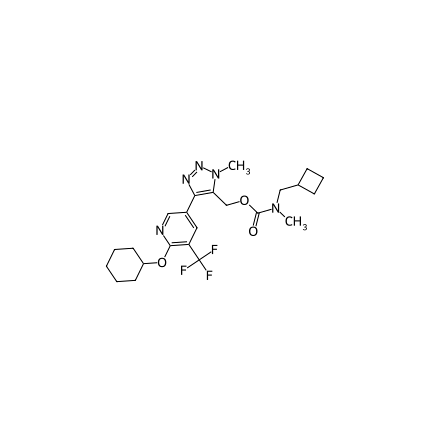 CN(CC1CCC1)C(=O)OCc1c(-c2cnc(OC3CCCCC3)c(C(F)(F)F)c2)nnn1C